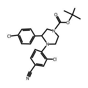 CC(C)(C)OC(=O)N1CCN(c2ccc(C#N)cc2Cl)C(c2ccc(Cl)cc2)C1